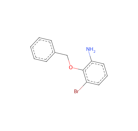 Nc1cccc(Br)c1OCc1ccccc1